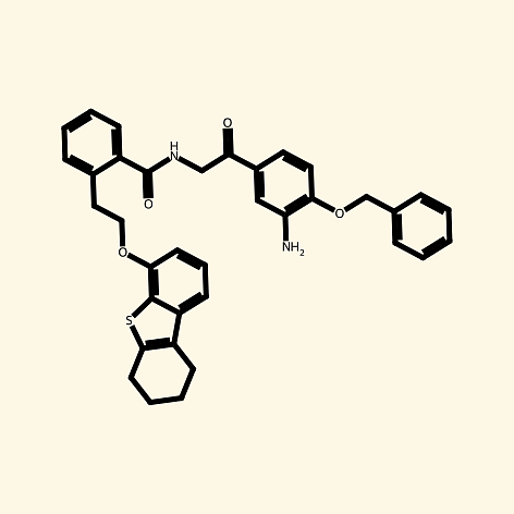 Nc1cc(C(=O)CNC(=O)c2ccccc2CCOc2cccc3c4c(sc23)CCCC4)ccc1OCc1ccccc1